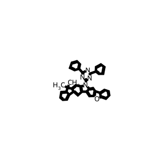 CC1(C)c2ccccc2-c2cc3c4cc5oc6ccccc6c5cc4n(-c4nc(-c5ccccc5)nc(-c5ccccc5)n4)c3cc21